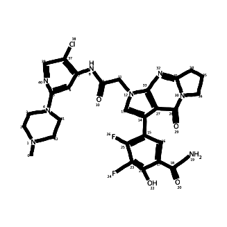 CN1CCN(c2cc(NC(=O)Cn3cc(-c4cc(C(N)=O)c(O)c(F)c4F)c4c(=O)n5c(nc43)CCC5)c(Cl)cn2)CC1